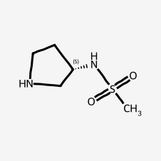 CS(=O)(=O)N[C@H]1CCNC1